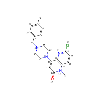 Cc1ccc(CN2CCN(c3cc(=O)n(C)c4ccc(Cl)nc34)CC2)cc1